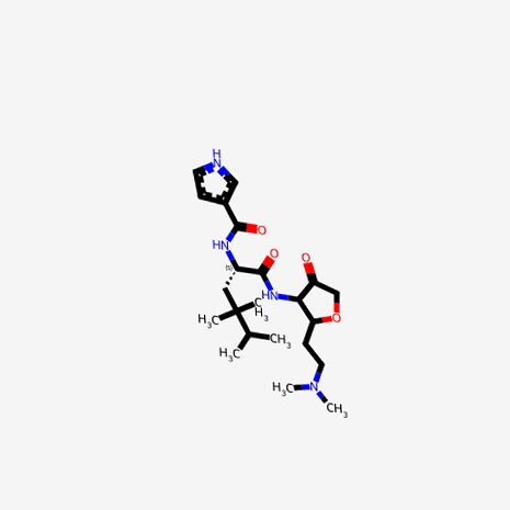 CC(C)C(C)(C)C[C@H](NC(=O)c1cc[nH]c1)C(=O)NC1C(=O)COC1CCN(C)C